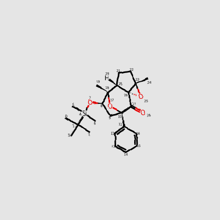 CC(C)(C)[Si](C)(C)O[C@@H]1C[C@]2(c3ccccc3)O[C@@]1(C)[C@@H]1CC[C@]3(C)O[C@]13C2=O